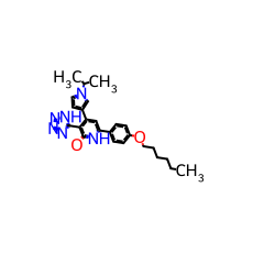 CCCCCCOc1ccc(-c2cc(-c3ccn(C(C)C)c3)c(-c3nnn[nH]3)c(=O)[nH]2)cc1